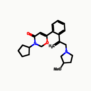 C=C(CN1CCC(OC)C1)c1ccccc1C1=CC(=O)N(C2CCCC2)CO1